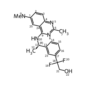 CNc1ccc2nc(C)nc(N[C@H](C)c3cccc(C(F)(F)CO)c3)c2c1